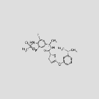 CC(C)c1cccc(OC2=CCC(C(=O)N[C@H](C)c3cc(F)c(NS(C)(=O)=O)c(F)c3)S2)c1